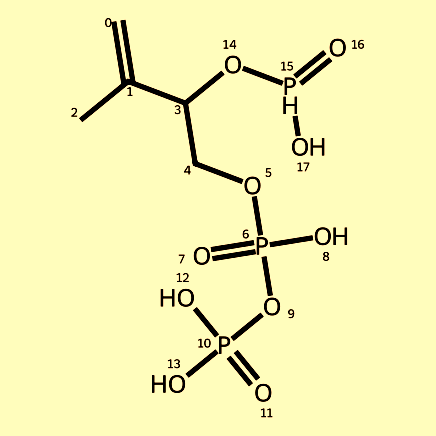 C=C(C)C(COP(=O)(O)OP(=O)(O)O)O[PH](=O)O